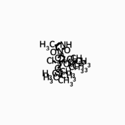 Cc1c[nH]c(=O)n([C@H]2C[C@H](O[Si](C)(C)C(C)(C)C)[C@@](CCl)(CO[Si](C)(C)C(C)(C)C)O2)c1=O